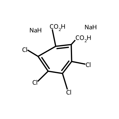 O=C(O)c1c(Cl)c(Cl)c(Cl)c(Cl)c1C(=O)O.[NaH].[NaH]